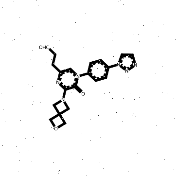 O=CCCc1cn(-c2ccc(-n3ccnn3)cc2)c(=O)c(N2CC3(COC3)C2)n1